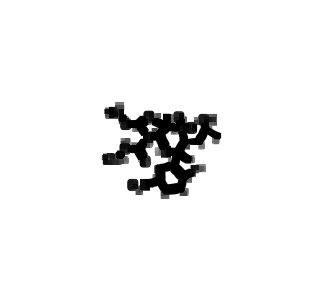 C[C@H](O)C[C@H]1C(C)(c2cc([N+](=O)[O-])ccc2F)N=C(N(C(=O)OC(C)(C)C)C(=O)OC(C)(C)C)C(C)(C)S1(=O)=O